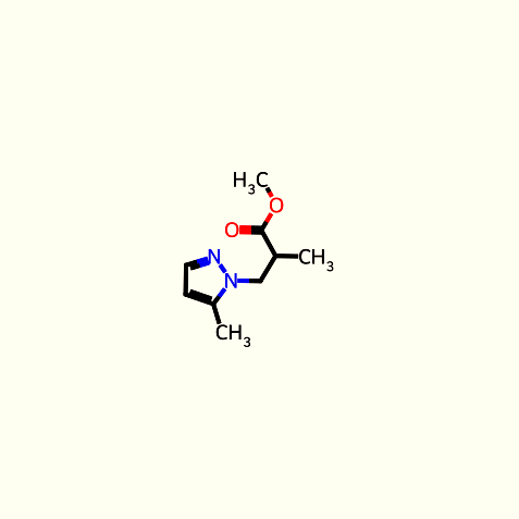 COC(=O)C(C)Cn1nccc1C